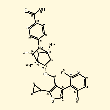 C[C@H]1[C@H]2C[C@H](C[C@@H]2OCc2c(-c3c(Cl)cccc3Cl)noc2C2CC2)N1c1ccc(C(=O)O)cc1